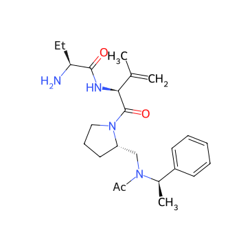 C=C(C)[C@H](NC(=O)[C@@H](N)CC)C(=O)N1CCC[C@H]1CN(C(C)=O)[C@H](C)c1ccccc1